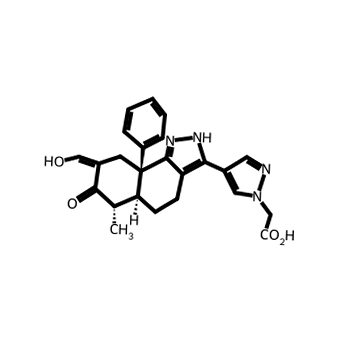 C[C@@H]1C(=O)C(=CO)C[C@]2(c3ccccc3)c3n[nH]c(-c4cnn(CC(=O)O)c4)c3CC[C@@H]12